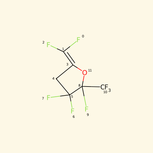 FC(F)=C1CC(F)(F)C(F)(C(F)(F)F)O1